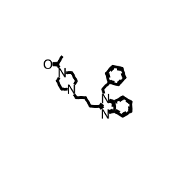 CC(=O)N1CCN(CCCc2nc3ccccc3n2Cc2ccccc2)CC1